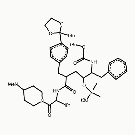 CNC1CCN(C(=O)C(NC(=O)C(Cc2ccc(C3(C(C)(C)C)OCCO3)cc2)CC(O[Si](C)(C)C(C)(C)C)C(Cc2ccccc2)NC(=O)OC(C)(C)C)C(C)C)CC1